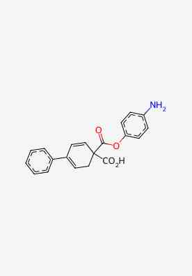 Nc1ccc(OC(=O)C2(C(=O)O)C=CC(c3ccccc3)=CC2)cc1